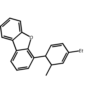 CCC1=CC(C)C(c2cccc3c2oc2ccccc23)C=C1